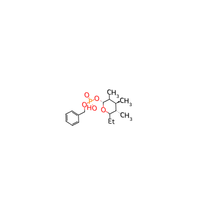 CCC1O[C@H](OP(=O)(O)OCc2ccccc2)C(C)[C@@H](C)[C@@H]1C